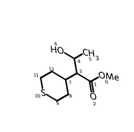 COC(=O)C(C(C)O)C1CCSCC1